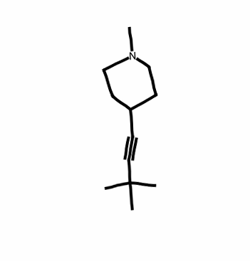 CN1CCC(C#CC(C)(C)C)CC1